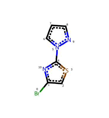 Brc1csc(-n2cccn2)n1